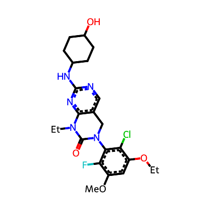 CCOc1cc(OC)c(F)c(N2Cc3cnc(NC4CCC(O)CC4)nc3N(CC)C2=O)c1Cl